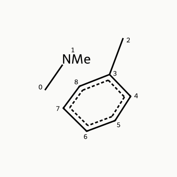 CNC.Cc1ccccc1